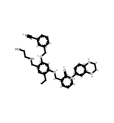 CCc1cc(CNCCO)c(OCc2cccc(C#N)c2)cc1OCc1cccn(-c2ccc3c(c2)OCCO3)c1=O